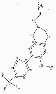 C=CCN1CCc2cc(OC)c(-c3ccc(C(F)(F)F)cc3)cc2C1